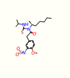 CCCCC[C@H](C)N(C(=O)Cc1ccc(OC)c(N=S(=O)=O)c1)C(=S)NC(C)C